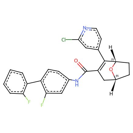 O=C(Nc1ccc(-c2ccccc2F)c(F)c1)C1=C(c2ccnc(Cl)c2)[C@@H]2CC[C@H](C1)O2